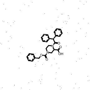 O=C(O)C1CN(C(=O)OCc2ccccc2)CCN1C(=O)C(c1ccccc1)c1ccccc1